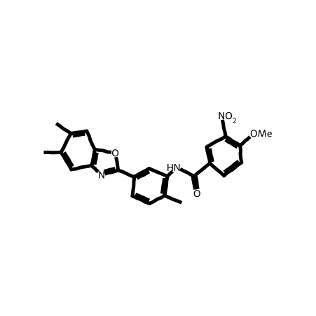 COc1ccc(C(=O)Nc2cc(-c3nc4cc(C)c(C)cc4o3)ccc2C)cc1[N+](=O)[O-]